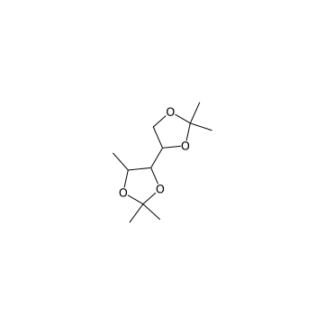 CC1OC(C)(C)OC1C1COC(C)(C)O1